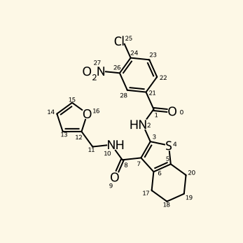 O=C(Nc1sc2c(c1C(=O)NCc1ccco1)CCCC2)c1ccc(Cl)c([N+](=O)[O-])c1